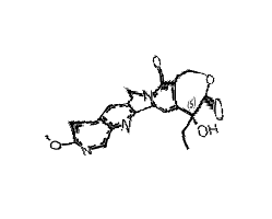 CC[C@@]1(O)C(=O)OCc2c1cc1n(c2=O)Cc2cc3cc(OC)ncc3nc2-1